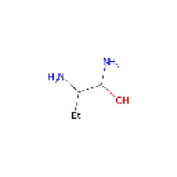 CCC(N)C(N)O